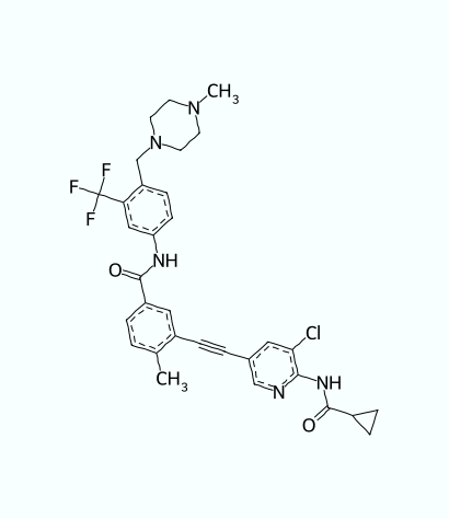 Cc1ccc(C(=O)Nc2ccc(CN3CCN(C)CC3)c(C(F)(F)F)c2)cc1C#Cc1cnc(NC(=O)C2CC2)c(Cl)c1